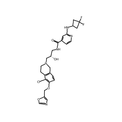 O=C(NC[C@H](O)CN1CCc2c(ccc(OCc3cnco3)c2Cl)C1)c1ccnc(NC2CC(F)(F)C2)c1